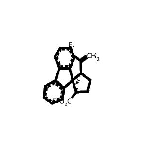 C=C(OCC)C12CCC(C(=O)OCC)(CC1)C21c2ccccc2-c2ccccc21